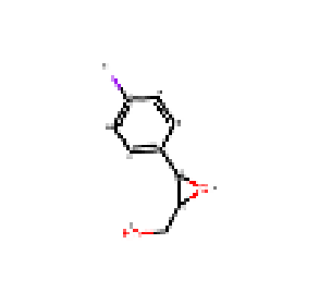 OCC1OC1c1ccc(I)cc1